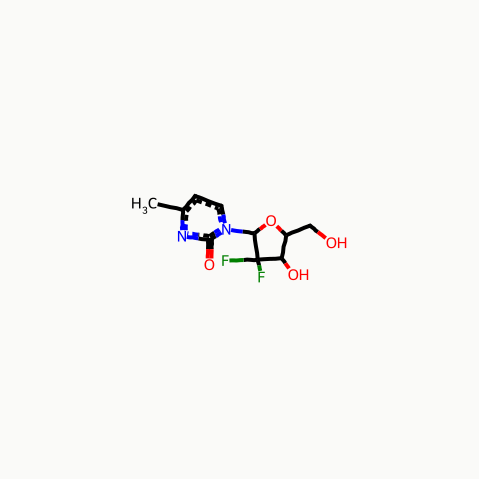 Cc1ccn(C2OC(CO)C(O)C2(F)F)c(=O)n1